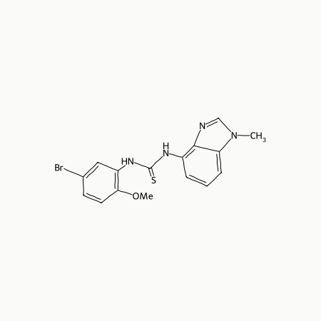 COc1ccc(Br)cc1NC(=S)Nc1cccc2c1ncn2C